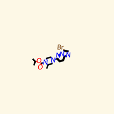 CC(C)OC(=O)N1CCN(c2ccc3ncc(Br)n3n2)CC1C